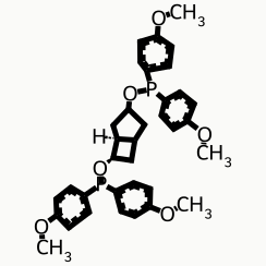 COc1ccc(P(OC2CC3C[C@@H](OP(c4ccc(OC)cc4)c4ccc(OC)cc4)[C@H]3C2)c2ccc(OC)cc2)cc1